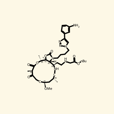 CCCCOC(=O)CNCC[C@H]1NC[C@H](C)C[C@@H](OC)CCC(=O)[C@@H](C)C(=O)O[C@H](C)[C@@]2(C)OC(=O)N(CCCCn3cc(-c4cccc(N)c4)nn3)[C@H]12